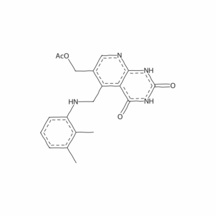 CC(=O)OCc1cnc2[nH]c(=O)[nH]c(=O)c2c1CNc1cccc(C)c1C